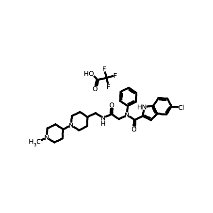 CN1CCC(N2CCC(CNC(=O)CN(C(=O)c3cc4cc(Cl)ccc4[nH]3)c3ccccc3)CC2)CC1.O=C(O)C(F)(F)F